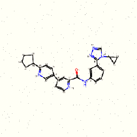 O=C(Nc1cccc(-c2nncn2C2CC2)c1)c1cc(-c2ccc(C3CCCC3)nc2)ccn1